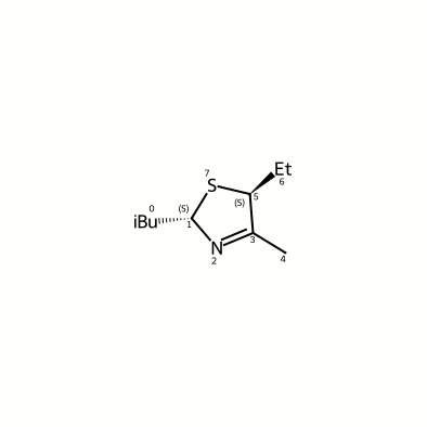 CCC(C)[C@H]1N=C(C)[C@H](CC)S1